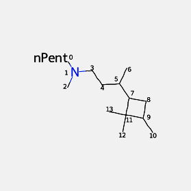 CCCCCN(C)CCC(C)C1CC(C)C1(C)C